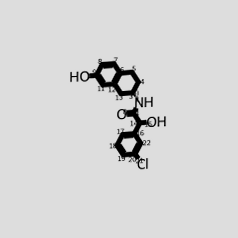 O=C(N[C@H]1CCc2ccc(O)cc2C1)C(O)c1cccc(Cl)c1